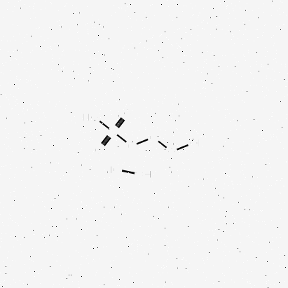 O=S(=O)(O)OOOO.OO